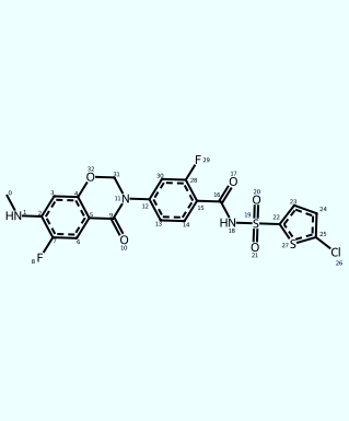 CNc1cc2c(cc1F)C(=O)N(c1ccc(C(=O)NS(=O)(=O)c3ccc(Cl)s3)c(F)c1)CO2